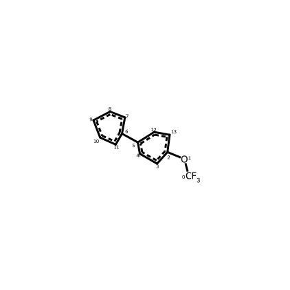 FC(F)(F)Oc1c[c]c(-c2ccccc2)cc1